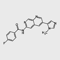 Cn1cncc1-c1cnc2cnc(NC(=O)c3ccc(F)cc3)cc2c1